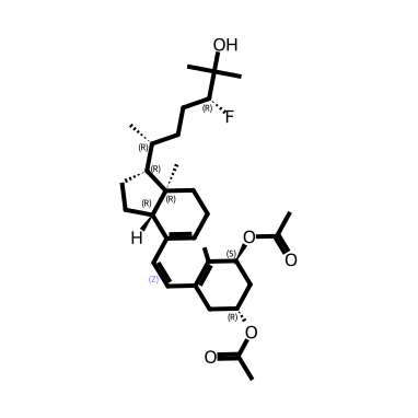 CC(=O)O[C@@H]1CC(/C=C\C2=CCC[C@]3(C)[C@@H]([C@H](C)CC[C@@H](F)C(C)(C)O)CC[C@@H]23)=C(C)[C@@H](OC(C)=O)C1